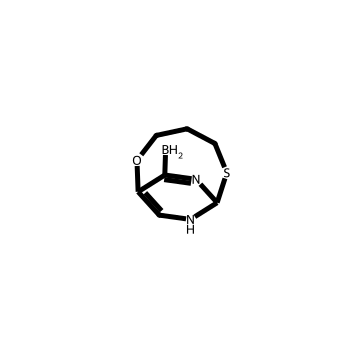 BC1=NC2NC=C1OCCCS2